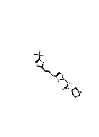 CC(C)(C)c1cnc(CCSc2cnc(NC(=O)[C@H]3CCCNC3)s2)o1